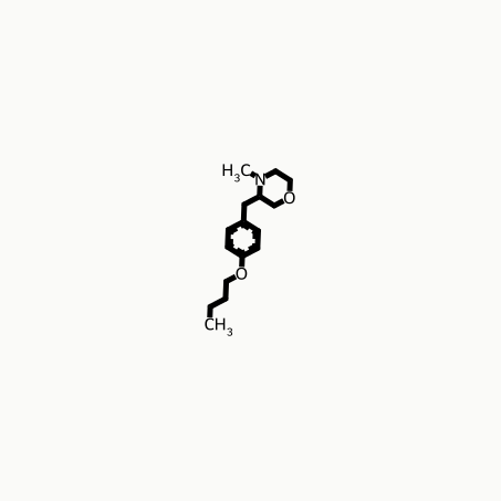 CCCCOc1ccc(CC2COCCN2C)cc1